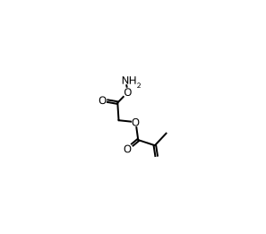 C=C(C)C(=O)OCC(=O)ON